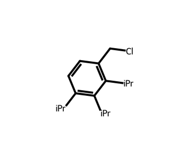 CC(C)c1ccc(CCl)c(C(C)C)c1C(C)C